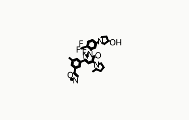 Cc1cc(-c2cc(N3CCCC3C)c(=O)n(-c3cc(N4CCC(O)C4)ccc3C(F)(F)F)n2)cc(-c2cnco2)c1